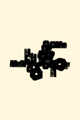 CN[C@@H](C)C(=O)N[C@H](C(=O)N1CC[C@@H]2[C@H]1[C@@H](c1c[nH]c3cc(F)ccc13)CN2C(=O)OC)C1CCCCC1